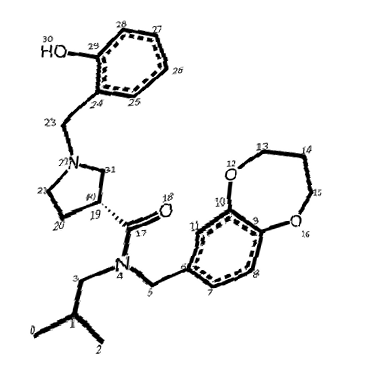 CC(C)CN(Cc1ccc2c(c1)OCCCO2)C(=O)[C@@H]1CCN(Cc2ccccc2O)C1